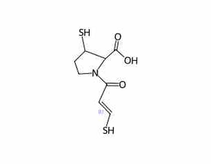 O=C(O)C1C(S)CCN1C(=O)/C=C/S